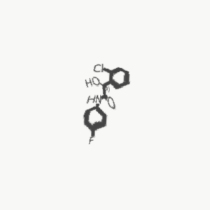 O=C(Nc1ccc(F)cc1)[C@H](O)c1ccccc1Cl